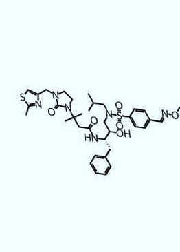 CO/N=C/c1ccc(S(=O)(=O)N(CC(C)C)C[C@@H](O)[C@H](Cc2ccccc2)NC(=O)CC(C)(C)N2CCN(Cc3csc(C)n3)C2=O)cc1